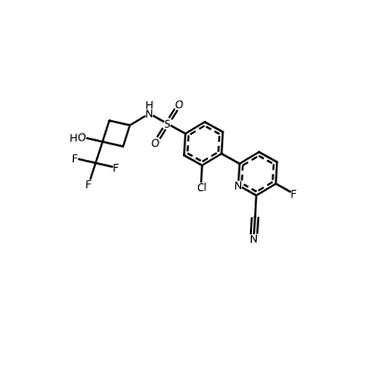 N#Cc1nc(-c2ccc(S(=O)(=O)NC3CC(O)(C(F)(F)F)C3)cc2Cl)ccc1F